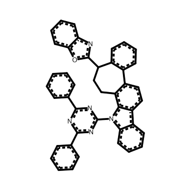 c1ccc(-c2nc(-c3ccccc3)nc(-n3c4ccccc4c4ccc5c(c43)CCC(c3nc4ccccc4o3)c3ccccc3-5)n2)cc1